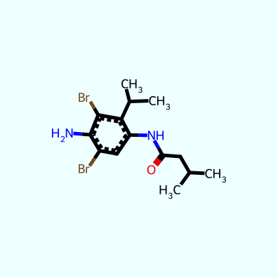 CC(C)CC(=O)Nc1cc(Br)c(N)c(Br)c1C(C)C